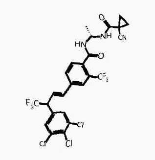 C[C@@H](NC(=O)c1ccc(C=CC(c2cc(Cl)c(Cl)c(Cl)c2)C(F)(F)F)cc1C(F)(F)F)NC(=O)C1(C#N)CC1